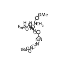 COc1ccc(CN(C)c2cc(N3CCc4c(-c5cnc(CN6CC7(CCN(C(=O)OC(C)(C)C)CC7)C6)nc5)cccc43)nn3c(C(=O)N[C@@H]4C[C@@H]4F)cnc23)cc1